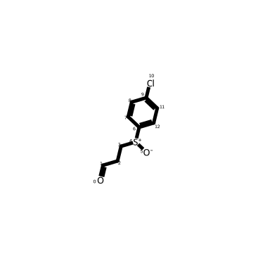 O=CCC[S+]([O-])c1ccc(Cl)cc1